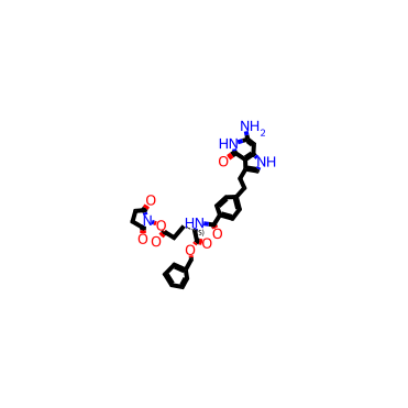 Nc1cc2[nH]cc(CCc3ccc(C(=O)N[C@@H](CCC(=O)ON4C(=O)CCC4=O)C(=O)OCc4ccccc4)cc3)c2c(=O)[nH]1